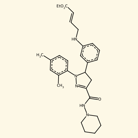 CCOC(=O)/C=C/CNc1cccc(C2CC(C(=O)NN3CCCCC3)=NN2c2ccc(C)cc2C)c1